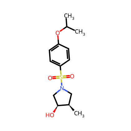 CC(C)Oc1ccc(S(=O)(=O)N2C[C@@H](C)[C@@H](O)C2)cc1